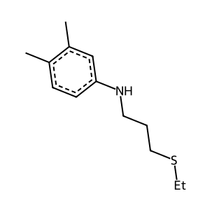 CCSCCCNc1ccc(C)c(C)c1